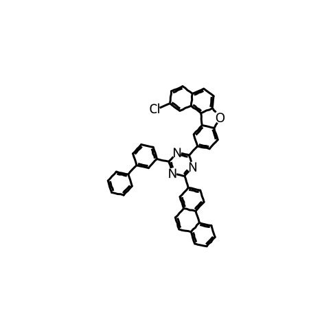 Clc1ccc2ccc3oc4ccc(-c5nc(-c6cccc(-c7ccccc7)c6)nc(-c6ccc7c(ccc8ccccc87)c6)n5)cc4c3c2c1